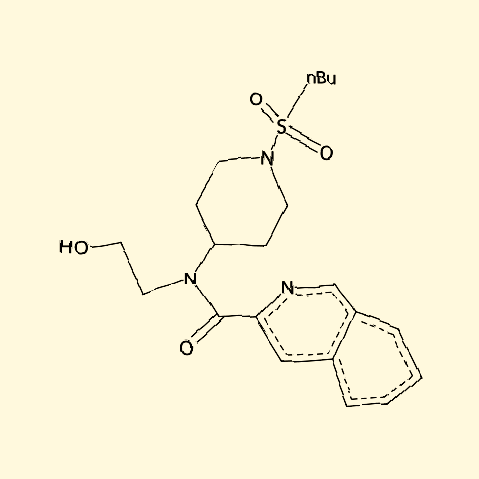 CCCCS(=O)(=O)N1CCC(N(CCO)C(=O)c2cc3ccccc3cn2)CC1